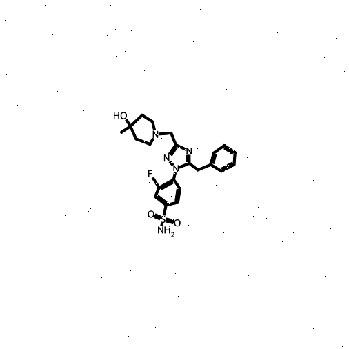 CC1(O)CCN(Cc2nc(Cc3ccccc3)n(-c3ccc(S(N)(=O)=O)cc3F)n2)CC1